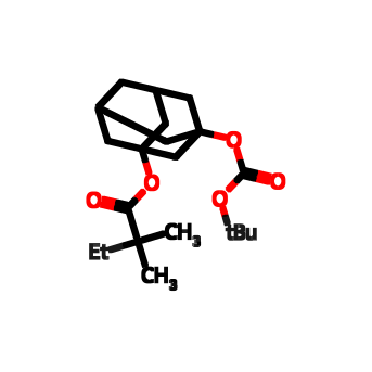 CCC(C)(C)C(=O)OC12CC3CC(CC(OC(=O)OC(C)(C)C)(C3)C1)C2